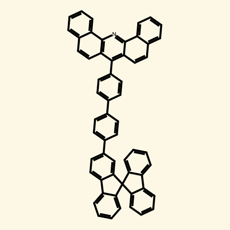 c1ccc2c(c1)-c1ccccc1C21c2ccccc2-c2ccc(-c3ccc(-c4ccc(-c5c6ccc7ccccc7c6nc6c5ccc5ccccc56)cc4)cc3)cc21